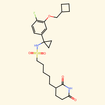 O=C1CCC(CCCCCS(=O)(=O)NC2(c3ccc(F)c(OCC4CCC4)c3)CC2)C(=O)N1